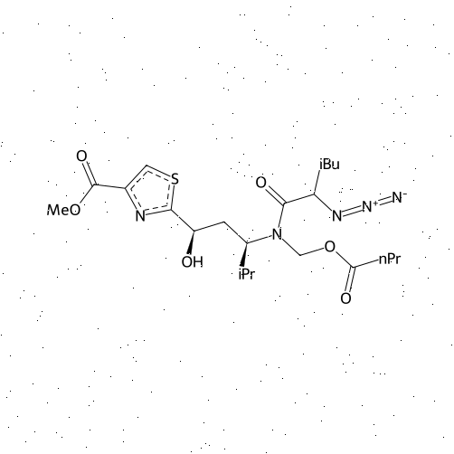 CCCC(=O)OCN(C(=O)C(N=[N+]=[N-])C(C)CC)[C@H](C[C@@H](O)c1nc(C(=O)OC)cs1)C(C)C